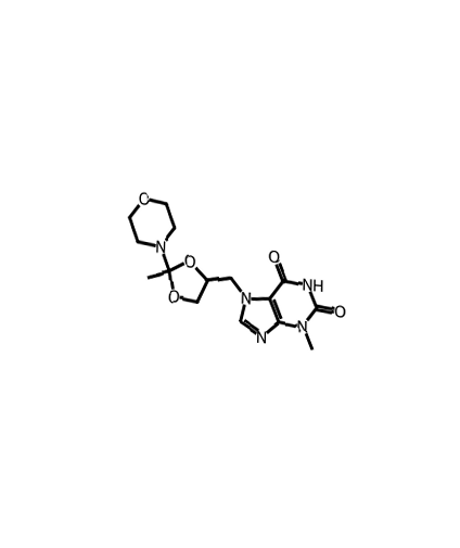 Cn1c(=O)[nH]c(=O)c2c1ncn2CC1COC(C)(N2CCOCC2)O1